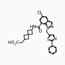 O=C(O)CC1CC2(C1)CC(NC(=O)c1cc(Cl)cc3cnn(Cc4cnc(-c5ccccc5)s4)c13)C2